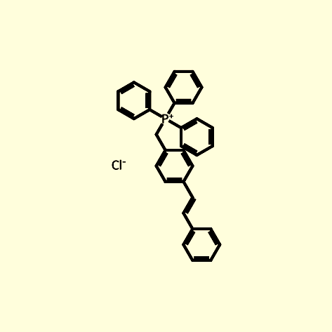 C(=Cc1ccc(C[P+](c2ccccc2)(c2ccccc2)c2ccccc2)cc1)c1ccccc1.[Cl-]